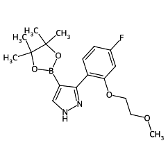 COCCOc1cc(F)ccc1-c1n[nH]cc1B1OC(C)(C)C(C)(C)O1